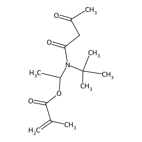 C=C(C)C(=O)OC(C)N(C(=O)CC(C)=O)C(C)(C)C